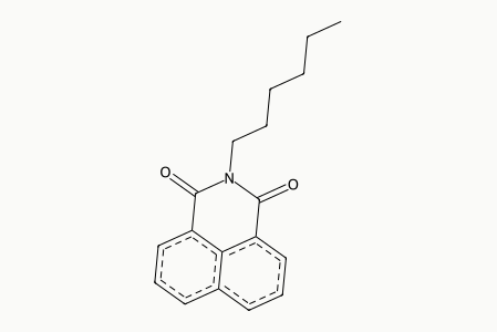 CCCCCCN1C(=O)c2cccc3cccc(c23)C1=O